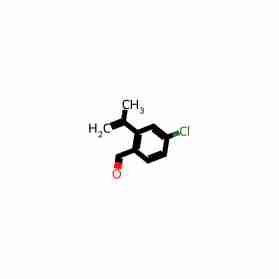 C=C(C)c1cc(Cl)ccc1C=O